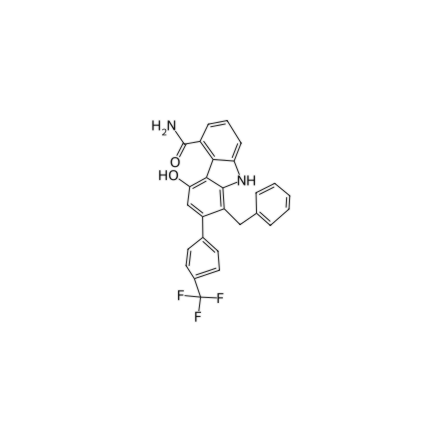 NC(=O)c1cccc2[nH]c3c(Cc4ccccc4)c(-c4ccc(C(F)(F)F)cc4)cc(O)c3c12